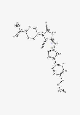 CCCc1ccc(-c2ccc(/C=C3/SC(=S)N(C4CCC(C(=O)O)CC4)C3=O)o2)cc1